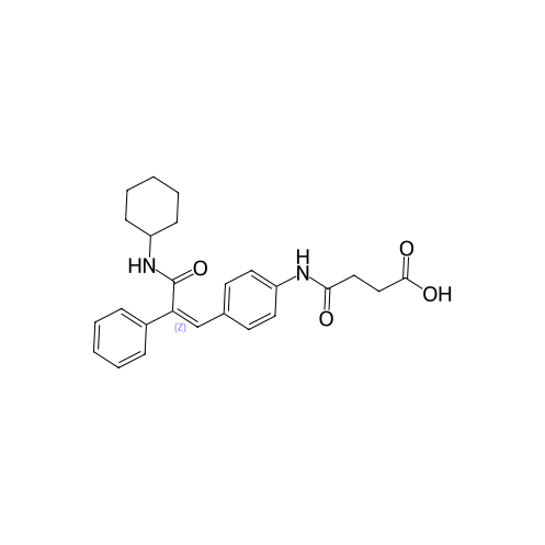 O=C(O)CCC(=O)Nc1ccc(/C=C(\C(=O)NC2CCCCC2)c2ccccc2)cc1